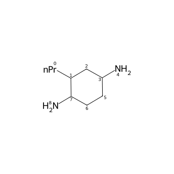 CCCC1CC(N)CCC1N